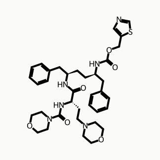 O=C(N[C@H](CC[C@H](Cc1ccccc1)NC(=O)[C@H](CCN1CCOCC1)NC(=O)N1CCOCC1)Cc1ccccc1)OCc1cncs1